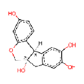 Oc1ccc2c(c1)OC[C@]1(O)Cc3cc(O)c(O)cc3[C@H]21